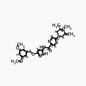 COc1cc(COc2cc(NC(=O)c3cnc(N4C[C@@H](C)N(C)[C@@H](C)C4)cn3)[nH]n2)cc(OC)c1